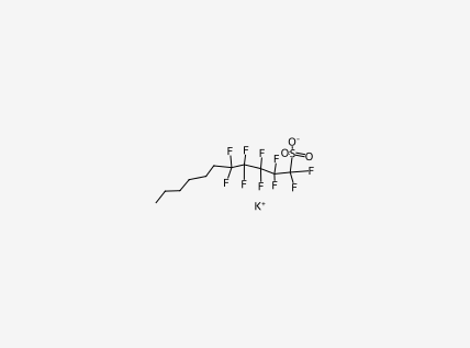 CCCCCCC(F)(F)C(F)(F)C(F)(F)C(F)(F)C(F)(F)S(=O)(=O)[O-].[K+]